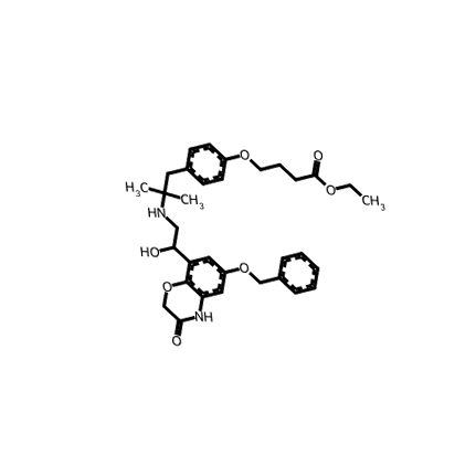 CCOC(=O)CCCOc1ccc(CC(C)(C)NCC(O)c2cc(OCc3ccccc3)cc3c2OCC(=O)N3)cc1